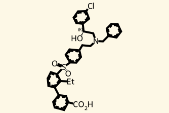 CCc1c(-c2cccc(C(=O)O)c2)cccc1S(=O)(=O)c1ccc(CCN(Cc2ccccc2)C[C@H](O)c2cccc(Cl)c2)cc1